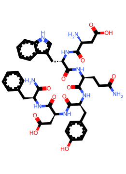 NC(=O)CC[C@H](NC(=O)[C@H](Cc1c[nH]c2ccccc12)NC(=O)[C@@H](N)CC(=O)O)C(=O)N[C@@H](Cc1ccc(O)cc1)C(=O)N[C@@H](CC(=O)O)C(=O)N[C@@H](Cc1ccccc1)C(N)=O